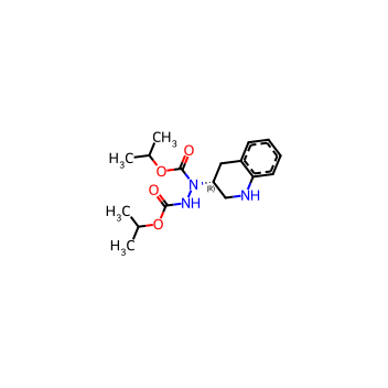 CC(C)OC(=O)NN(C(=O)OC(C)C)[C@H]1CNc2ccccc2C1